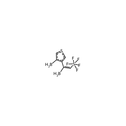 B/C(=C/S(F)(F)(F)(F)F)c1cscc1B